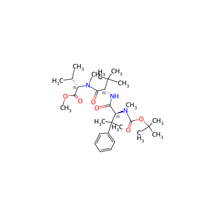 COC(=O)[C@H](C(C)C)N(C)C(=O)[C@@H](NC(=O)[C@@H](N(C)C(=O)OC(C)(C)C)C(C)(C)c1ccccc1)C(C)(C)C